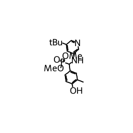 COP(=O)(OC)C(Nc1cncc(C(C)(C)C)c1)c1ccc(O)c(C)c1